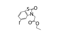 CCOC(=O)Cn1c(=O)sc2ccc(I)cc21